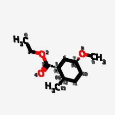 CCOC(=O)[C@@H]1C[C@H](OC)CC[C@H]1C